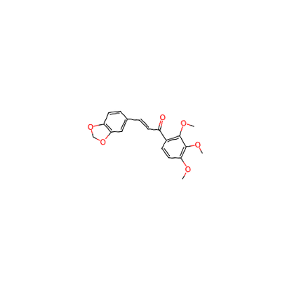 COc1ccc(C(=O)C=Cc2ccc3c(c2)OCO3)c(OC)c1OC